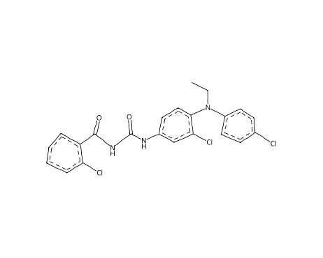 CCN(c1ccc(Cl)cc1)c1ccc(NC(=O)NC(=O)c2ccccc2Cl)cc1Cl